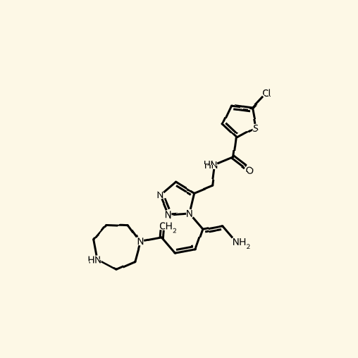 C=C(/C=C\C(=C/N)n1nncc1CNC(=O)c1ccc(Cl)s1)N1CCCNCC1